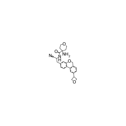 N#CC(Cc1ccc2c(c1)OCc1ccc(C3COC3)cc1-2)NC(=O)C1(N)CCOCC1